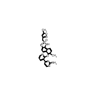 Cc1cc(CS(=O)(=O)Nc2c(F)ccc3c(Oc4ncccc4-c4ccnc(N)n4)c(C)ccc23)no1